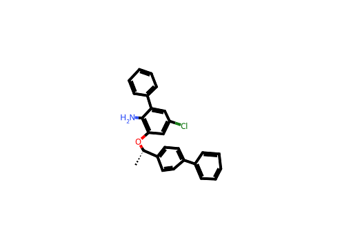 C[C@H](Oc1cc(Cl)cc(-c2ccccc2)c1N)c1ccc(-c2ccccc2)cc1